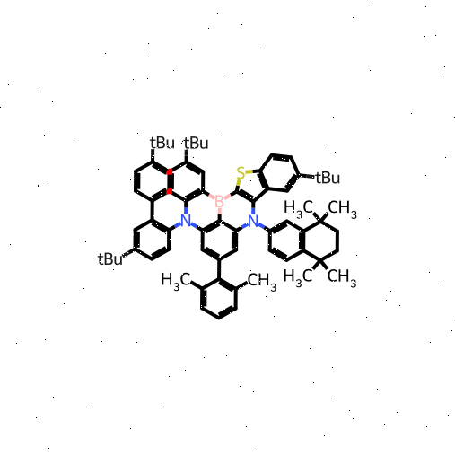 Cc1cccc(C)c1-c1cc2c3c(c1)N(c1ccc4c(c1)C(C)(C)CCC4(C)C)c1c(sc4ccc(C(C)(C)C)cc14)B3c1cc(C(C)(C)C)ccc1N2c1ccc(C(C)(C)C)cc1-c1ccc(C(C)(C)C)cc1